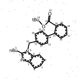 CCCCc1nc2ccccc2n1Cc1ccc(-c2ccccc2C(=O)OC(C)(C)C)cc1